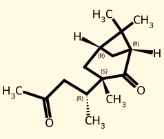 CC(=O)C[C@@H](C)[C@]1(C)C[C@H]2C[C@@H](C1=O)C2(C)C